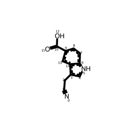 N#CCc1c[nH]c2ccc(C(=O)O)cc12